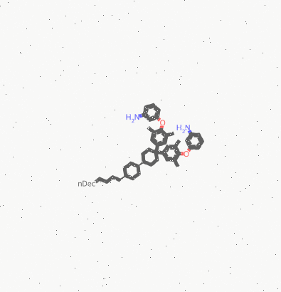 CCCCCCCCCCCCCC[C@H]1CC[C@@H](C2CCC(c3cc(C)c(Oc4cccc(N)c4)c(C)c3)(c3cc(C)c(Oc4cccc(N)c4)c(C)c3)CC2)CC1